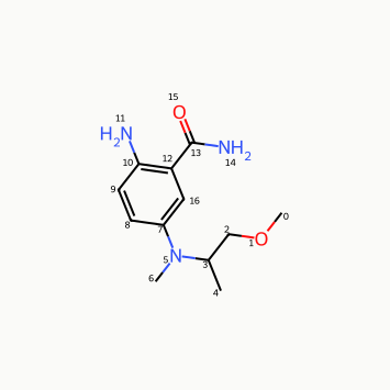 COCC(C)N(C)c1ccc(N)c(C(N)=O)c1